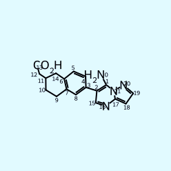 Nc1c(-c2ccc3c(c2)CCC(CC(=O)O)C3)cnc2ccnn12